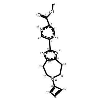 COC(=O)c1cnc(-c2nc3c(s2)CCN(C2=CC=C2)CC3)cn1